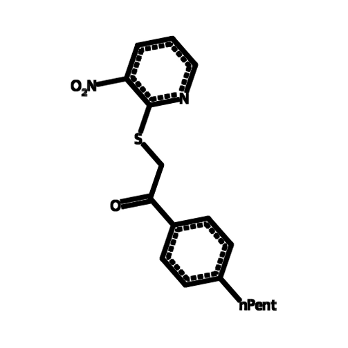 CCCCCc1ccc(C(=O)CSc2ncccc2[N+](=O)[O-])cc1